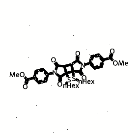 CCCCCCSC12C(=O)N(c3ccc(C(=O)OC)cc3)C(=O)C1C1C(=O)N(c3ccc(C(=O)OC)cc3)C(=O)C12SCCCCCC